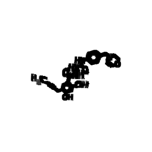 CC#CCc1cc(C(=O)NNC(=O)Nc2ccc(CN3CCOCC3)cc2)c(O)cc1O